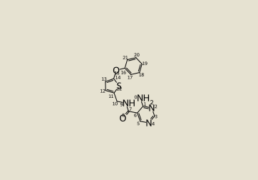 Nc1ncncc1C(=O)NCc1ccc(Oc2ccccc2)s1